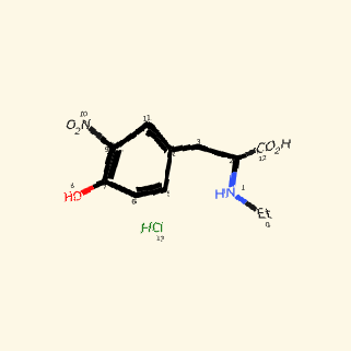 CCNC(Cc1ccc(O)c([N+](=O)[O-])c1)C(=O)O.Cl